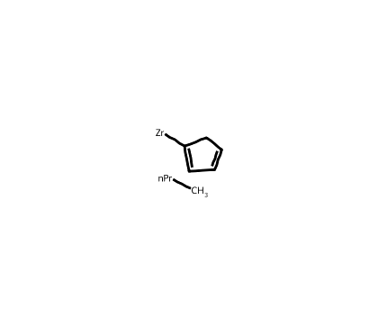 CCCC.[Zr][C]1=CC=CC1